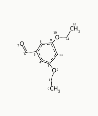 CCOc1cc([C]=O)cc(OCC)c1